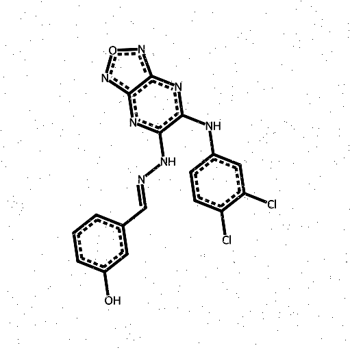 Oc1cccc(C=NNc2nc3nonc3nc2Nc2ccc(Cl)c(Cl)c2)c1